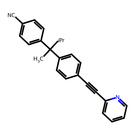 CC(C)C(C)(c1ccc(C#N)cc1)c1ccc(C#Cc2ccccn2)cc1